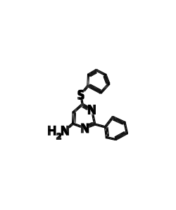 Nc1cc(Sc2ccccc2)nc(-c2ccccc2)n1